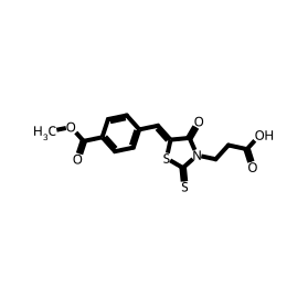 COC(=O)c1ccc(/C=C2\SC(=S)N(CCC(=O)O)C2=O)cc1